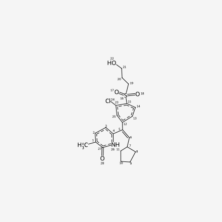 Cc1ccc(/C(=C\C2CCCC2)c2ccc(S(=O)(=O)CCCO)c(Cl)c2)[nH]c1=O